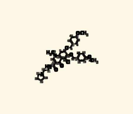 COc1ccc(COc2cc3c(c(Cl)c2OCc2ccc(OC)cc2)c(=O)c(C(=O)NCCN2CCCC2)cn3C)cc1